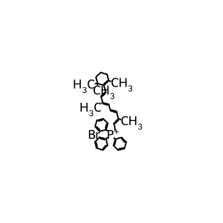 CC(C=CC1=C(C)CCCC1(C)C)=CC=CC(C)=CC[P+](c1ccccc1)(c1ccccc1)c1ccccc1Br